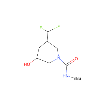 CCCCNC(=O)N1CC(O)CC(C(F)F)C1